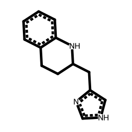 c1ccc2c(c1)CCC(Cc1c[nH]cn1)N2